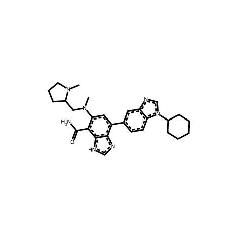 CN(CC1CCCN1C)c1cc(-c2ccc3c(c2)ncn3C2CCCCC2)c2nc[nH]c2c1C(N)=O